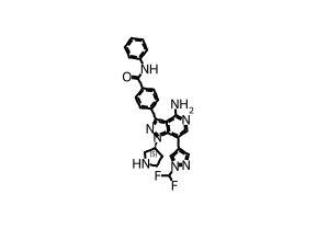 Nc1ncc(-c2cnn(C(F)F)c2)c2c1c(-c1ccc(C(=O)Nc3ccccc3)cc1)nn2[C@H]1CCNC1